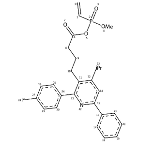 C=CP(=O)(OC)OC(=O)CCCc1c(C(C)C)cc(-c2ccccc2)nc1-c1ccc(F)cc1